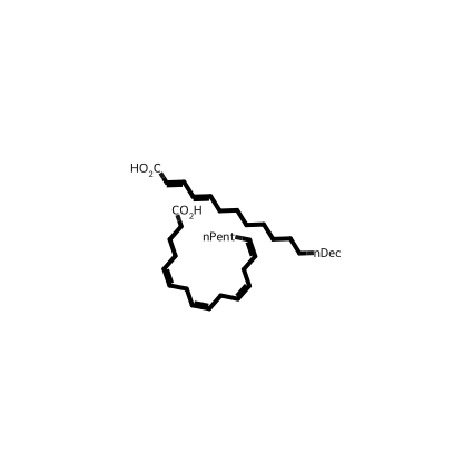 CCCCC/C=C\C/C=C\C/C=C\C/C=C\CCCC(=O)O.CCCCCCCCCCCCCCCCCC=CC=CC(=O)O